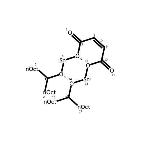 CCCCCCCCC(CCCCCCCC)[O][Sn][O]C(=O)/C=C\C(=O)[O][Sn][O]C(CCCCCCCC)CCCCCCCC